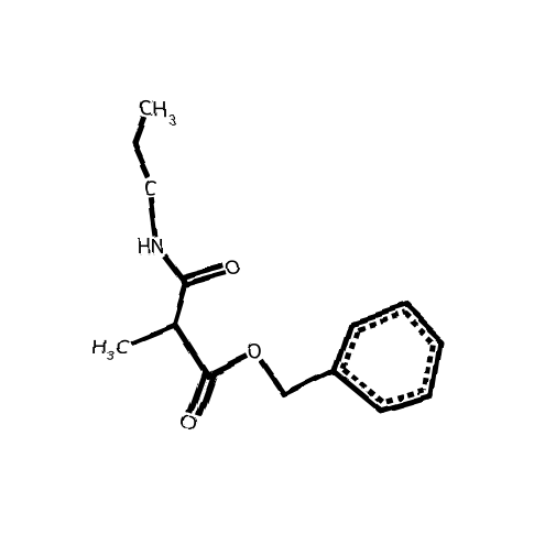 CCCNC(=O)C(C)C(=O)OCc1ccccc1